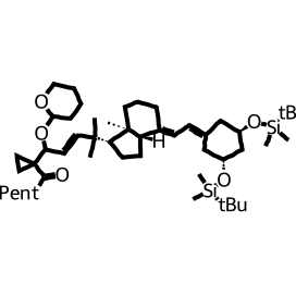 CCCCCC(=O)C1(C(/C=C/C(C)(C)[C@H]2CC[C@H]3/C(=C/C=C4C[C@@H](O[Si](C)(C)C(C)(C)C)C[C@H](O[Si](C)(C)C(C)(C)C)C4)CCC[C@]23C)OC2CCCCO2)CC1